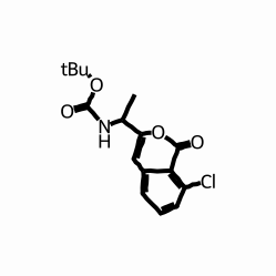 CC(NC(=O)OC(C)(C)C)c1cc2cccc(Cl)c2c(=O)o1